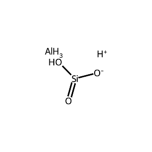 O=[Si]([O-])O.[AlH3].[H+]